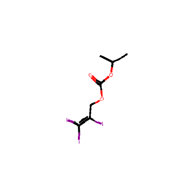 CC(C)OC(=O)OCC(I)=C(I)I